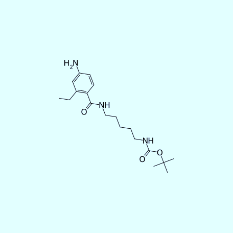 CCc1cc(N)ccc1C(=O)NCCCCCNC(=O)OC(C)(C)C